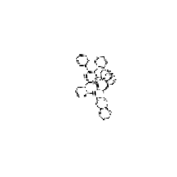 c1ccc(-c2nc(-c3ccccc3-n3c4cc5ccccc5cc4c4cc5ccccc5cc43)nc(-c3ccccc3)c2-c2ccccc2)cc1